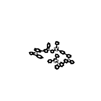 c1ccc(-c2cc(-c3ccccc3)nc(-n3c4ccccc4c4ccc(-c5ccc6c(c5)c5ccccc5n6-c5cccc(-c6ccc(-c7nc(-c8ccccc8)nc(-c8cccc(-n9c%10ccccc%10c%10cc(-c%11cccc(-n%12c%13ccccc%13c%13ccccc%13%12)c%11)ccc%109)c8)n7)cc6)c5)cc43)n2)cc1